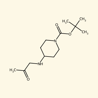 CC(=O)CNC1CCN(C(=O)OC(C)(C)C)CC1